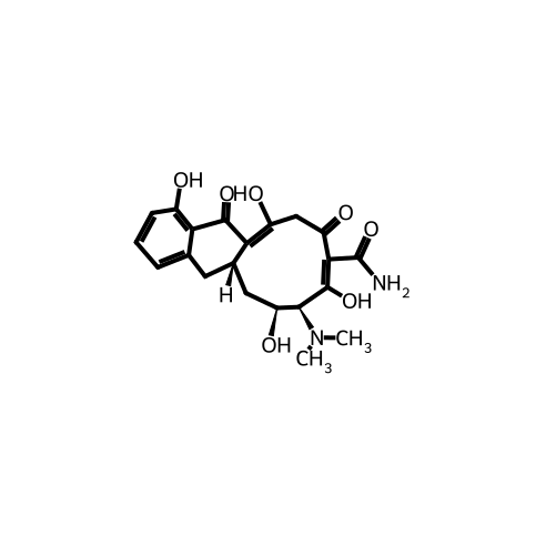 CN(C)[C@@H]1/C(O)=C(/C(N)=O)C(=O)C/C(O)=C2/C(=O)c3c(O)cccc3C[C@H]2C[C@@H]1O